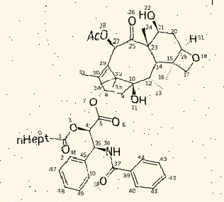 CCCCCCCC(=O)O[C@@H](C(=O)O[C@H]1C[C@@]2(O)[C@@H](C)C3[C@]4(C)CO[C@@H]4C[C@H](O)[C@@]3(C)C(=O)[C@H](OC(C)=O)C(=C1C)C2(C)C)[C@@H](NC(=O)c1ccccc1)c1ccccc1